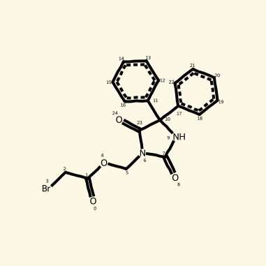 O=C(CBr)OCN1C(=O)NC(c2ccccc2)(c2ccccc2)C1=O